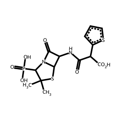 CC1(C)SC2C(NC(=O)C(C(=O)O)c3cccs3)C(=O)N2C1P(=O)(O)O